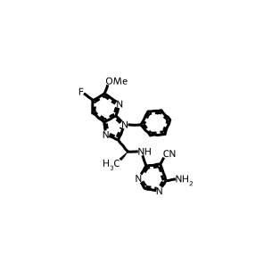 COc1nc2c(cc1F)nc([C@H](C)Nc1ncnc(N)c1C#N)n2-c1ccccc1